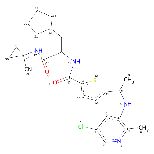 Cc1ncc(Cl)cc1NC(C)c1ccc(C(=O)NC(CC2CCCC2)C(=O)NC2(C#N)CC2)s1